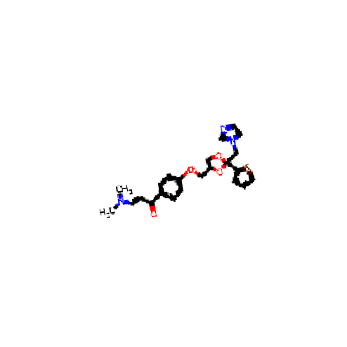 CN(C)C=CC(=O)c1ccc(OCC2COC(Cn3ccnc3)(c3cccs3)O2)cc1